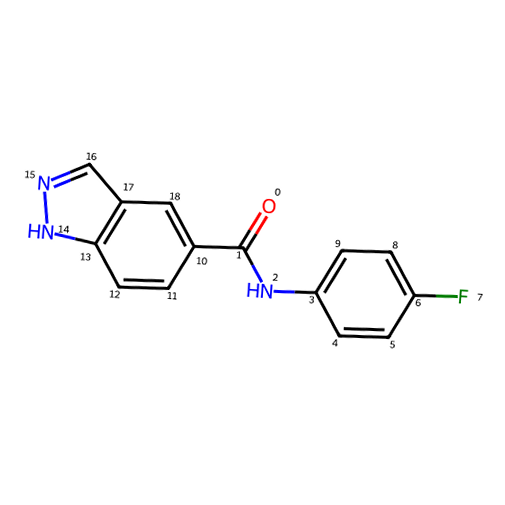 O=C(Nc1ccc(F)cc1)c1ccc2[nH]ncc2c1